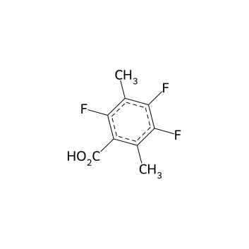 Cc1c(F)c(F)c(C)c(C(=O)O)c1F